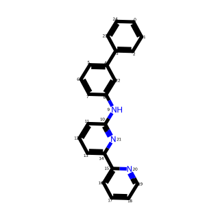 c1ccc(-c2cccc(Nc3cccc(-c4ccccn4)n3)c2)cc1